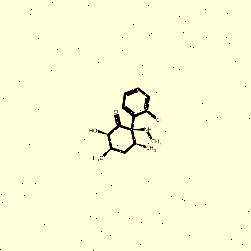 CN[C@]1(c2ccccc2Cl)C(=O)[C@H](O)[C@H](C)C[C@@H]1C